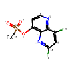 O=S(=O)(Oc1ccnc2c(F)cc(F)nc12)C(F)(F)F